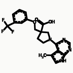 Cc1c[nH]c2ncnc(N3CCC(COc4cccc(C(F)(F)F)c4)(C(=O)O)C3)c12